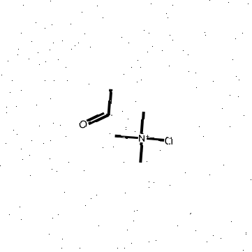 C[C]=O.C[N+](C)(C)Cl